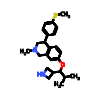 CSc1ccc(C2CN(C)Cc3cc(OC(C(C)C)C4CNC4)ccc32)cc1